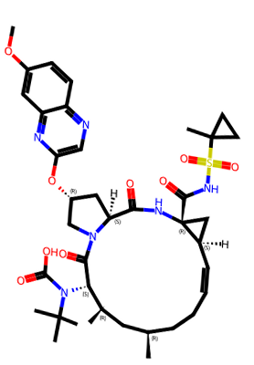 COc1ccc2ncc(O[C@@H]3C[C@H]4C(=O)N[C@]5(C(=O)NS(=O)(=O)C6(C)CC6)C[C@H]5C=CCC[C@@H](C)C[C@@H](C)[C@H](N(C(=O)O)C(C)(C)C)C(=O)N4C3)nc2c1